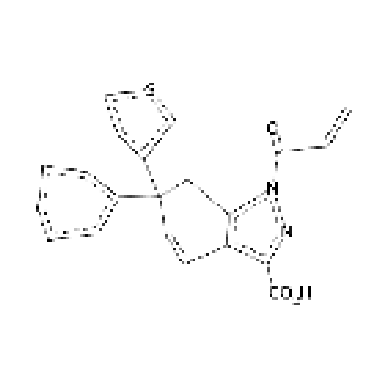 C=CC(=O)n1nc(C(=O)O)c2c1CC(c1ccccc1)(c1ccsc1)C=C2